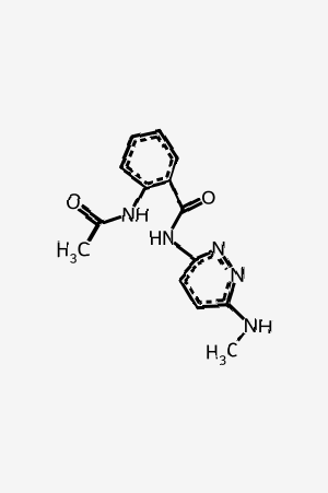 CNc1ccc(NC(=O)c2ccccc2NC(C)=O)nn1